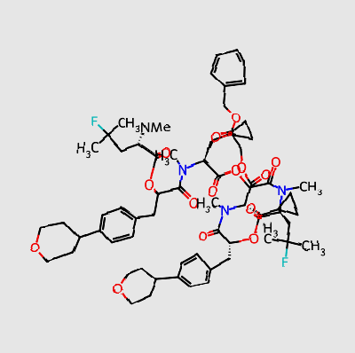 CN[C@@H](CC(C)(C)F)C(=O)OC(Cc1ccc(C2CCOCC2)cc1)C(=O)N(C)[C@@H](CC1CC1)C(=O)OCC(=O)N(C)[C@@H](CC(C)(C)F)C(=O)O[C@H](Cc1ccc(C2CCOCC2)cc1)C(=O)N(C)[C@@H](CC1CC1)C(=O)OCC(=O)OCc1ccccc1